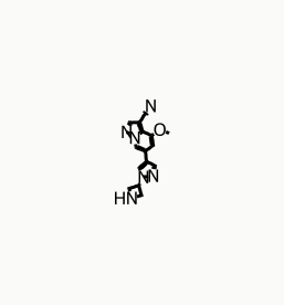 COc1cc(-c2cnn(C3CNC3)c2)cn2ncc(C#N)c12